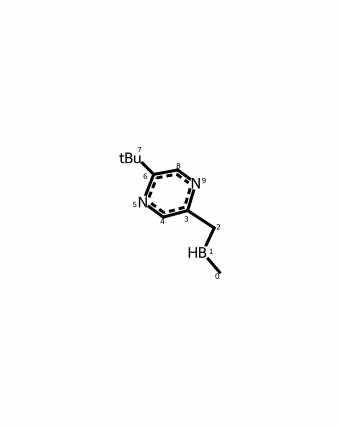 CBCc1cnc(C(C)(C)C)cn1